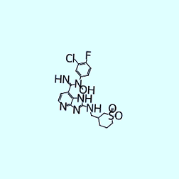 N=C(c1ccnc2nc(NCC3CCCS(=O)(=O)C3)[nH]c12)N(O)c1ccc(F)c(Cl)c1